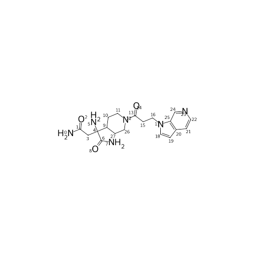 NC(=O)CC(N)(C(N)=O)C1CCN(C(=O)CCn2ccc3ccncc32)CC1